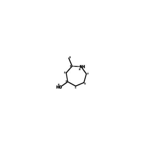 CC1CC(O)CCCN1